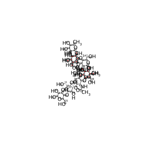 CC(=O)N[C@H]1[C@H](O[C@H]2[C@@H](O)[C@@H](CO)O[C@@H](O[C@H]3[C@H](O)[C@@H](O)[C@H](O)O[C@@H]3CO)[C@@H]2O)O[C@H](CO)[C@@H](O[C@@H]2O[C@H](CO)[C@H](O)[C@H](O[C@@H]3O[C@H](CO)[C@@H](O[C@@H]4O[C@H](CO)[C@H](O)[C@H](O)[C@H]4O[C@@H]4O[C@@H](C)[C@@H](O)[C@@H](O)[C@@H]4O)[C@H](O[C@@H]4O[C@@H](C)[C@@H](O)[C@@H](O)[C@@H]4O)[C@H]3NC(C)=O)[C@H]2O)[C@@H]1O[C@@H]1O[C@@H](C)[C@@H](O)[C@@H](O)[C@@H]1O